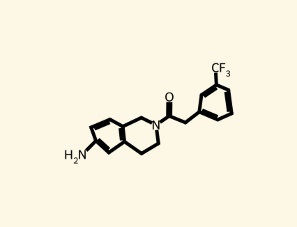 Nc1ccc2c(c1)CCN(C(=O)Cc1cccc(C(F)(F)F)c1)C2